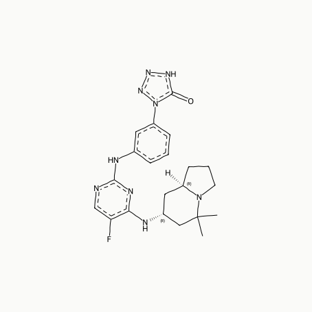 CC1(C)C[C@H](Nc2nc(Nc3cccc(-n4nn[nH]c4=O)c3)ncc2F)C[C@H]2CCCN21